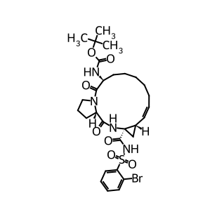 CC(C)(C)OC(=O)N[C@H]1CCCCC/C=C\[C@@H]2C[C@@]2(C(=O)NS(=O)(=O)c2ccccc2Br)NC(=O)[C@@H]2CCCN2C1=O